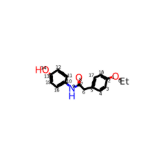 CCOc1ccc(CC(=O)Nc2ccc(O)cc2)cc1